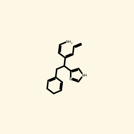 C=C/C=C(\C=C/N)C(CC1=CCCC=C1)c1c[nH]cn1